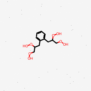 OOCC(Cc1ccccc1CC(COO)OO)OO